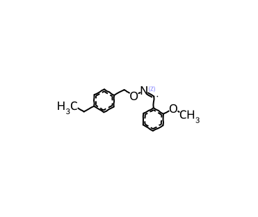 CCc1ccc(CO/N=[C]\c2ccccc2OC)cc1